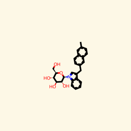 Cc1ccc2cc(Cc3cn([C@@H]4O[C@H](CO)[C@@H](O)[C@H](O)[C@H]4O)c4ccccc34)ccc2c1